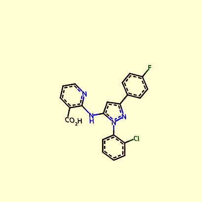 O=C(O)c1cccnc1Nc1cc(-c2ccc(F)cc2)nn1-c1ccccc1Cl